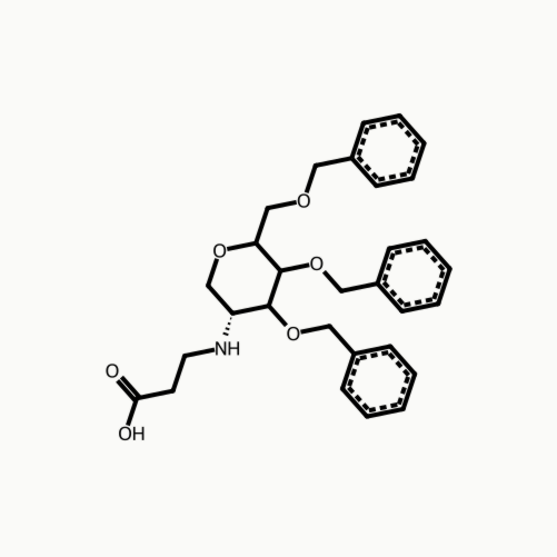 O=C(O)CCN[C@@H]1COC(COCc2ccccc2)C(OCc2ccccc2)C1OCc1ccccc1